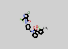 Cc1cccc(C2(O)C(=O)N(C[C@H]3CC[C@H](NC(=O)c4cc(Cl)cnc4C(F)F)CC3)c3ccccc32)c1F